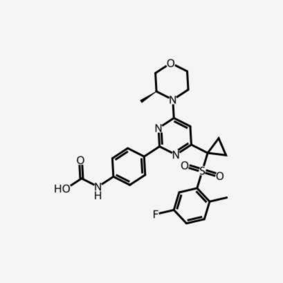 Cc1ccc(F)cc1S(=O)(=O)C1(c2cc(N3CCOC[C@@H]3C)nc(-c3ccc(NC(=O)O)cc3)n2)CC1